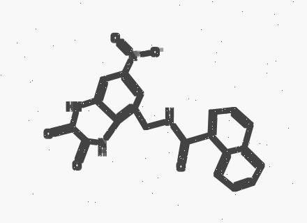 O=C(NCc1cc([N+](=O)[O-])cc2[nH]c(=O)c(=O)[nH]c12)c1cccc2ccccc12